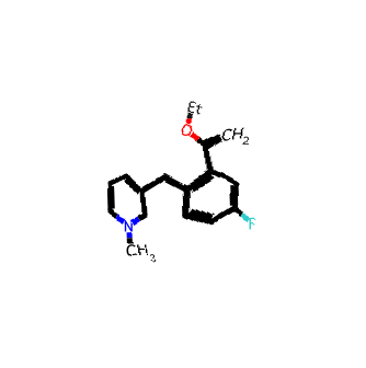 C=C(OCC)c1cc(F)ccc1CC1=CC=CN(C)C1